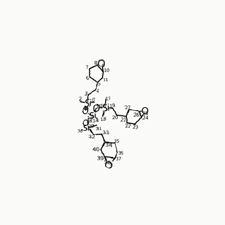 C[Si](C)(CCC1CCC2OC2C1)O[Si](C)(O[Si](C)(C)CCC1CCC2OC2C1)O[Si](C)(C)CCC1CCC2OC2C1